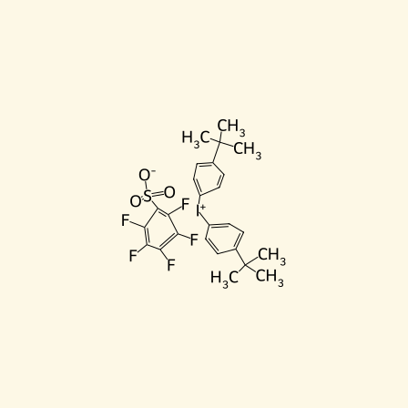 CC(C)(C)c1ccc([I+]c2ccc(C(C)(C)C)cc2)cc1.O=S(=O)([O-])c1c(F)c(F)c(F)c(F)c1F